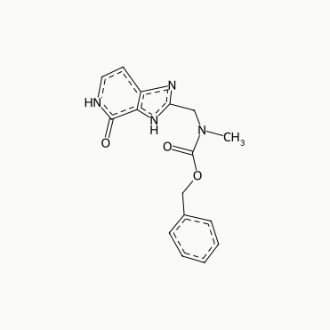 CN(Cc1nc2cc[nH]c(=O)c2[nH]1)C(=O)OCc1ccccc1